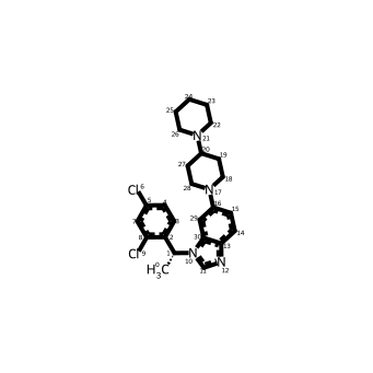 C[C@H](c1ccc(Cl)cc1Cl)n1cnc2ccc(N3CCC(N4CCCCC4)CC3)cc21